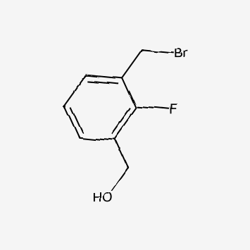 OCc1cccc(CBr)c1F